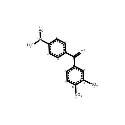 CC(=O)N(C)c1ccc(C(=O)c2ccc([N+](=O)[O-])c([N+](=O)[O-])c2)cc1